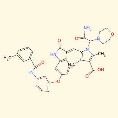 Cc1cccc(C(=O)Nc2cccc(Oc3ccc4c(c3)NC(=O)C4=Cc3c(C)c(C(=O)O)c(C)n3C(C(N)=O)N3CCOCC3)c2)c1